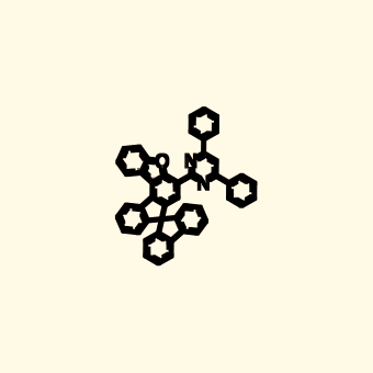 c1ccc(-c2cc(-c3ccccc3)nc(-c3cc4c(c5c3oc3ccccc35)-c3ccccc3C43c4ccccc4-c4ccccc43)n2)cc1